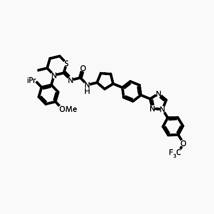 COc1ccc(C(C)C)c(N2/C(=N/C(=O)NC3CCC(c4ccc(-c5ncn(-c6ccc(OC(F)(F)F)cc6)n5)cc4)C3)SCCC2C)c1